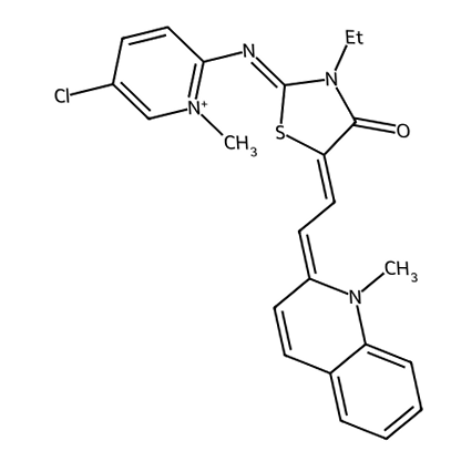 CCN1C(=O)/C(=C/C=C2/C=Cc3ccccc3N2C)S/C1=N\c1ccc(Cl)c[n+]1C